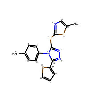 COc1ccc(-n2c(Sc3ncc([N+](=O)[O-])s3)nnc2-c2cccs2)cc1